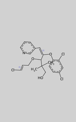 CC(C)(CO)C(OC/C=C/Cl)/C(=C\c1cccnc1)Oc1ccc(Cl)cc1Cl